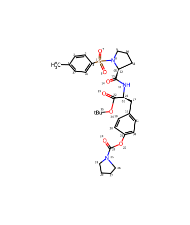 Cc1ccc(S(=O)(=O)N2CCC[C@H]2C(=O)N[C@@H](Cc2ccc(OC(=O)N3CCCC3)cc2)C(=O)OC(C)(C)C)cc1